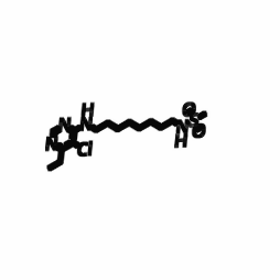 CCc1ncnc(NCCCCCCCCNS(C)(=O)=O)c1Cl